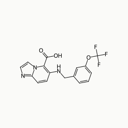 O=C(O)c1c(NCc2cccc(OC(F)(F)F)c2)ccc2nccn12